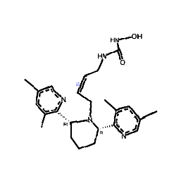 Cc1cnc([C@H]2CCC[C@@H](c3ncc(C)cc3C)N2C/C=C\CNC(=O)NO)c(C)c1